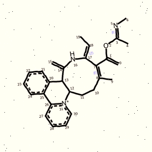 C=C(O/C(C)=N/C)/C1=C(\C)CCC2C(C(=C)N\C1=C/C)c1ccccc1-c1cccc[n+]12